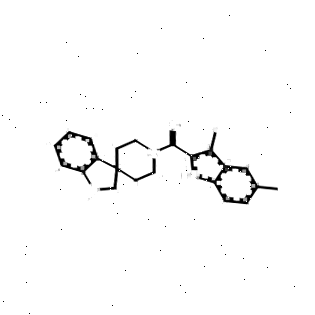 Cc1ccc2[nH]c(C(=O)N3CCC4(CC3)COc3ccccc34)c(C)c2c1